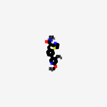 CNC(=O)[C@H](Cc1ccc(-c2cnc(OC)cc2C)cc1)c1nccs1